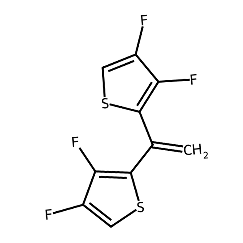 C=C(c1scc(F)c1F)c1scc(F)c1F